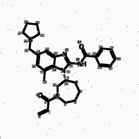 C=CC(=O)N1CCCC[C@@H](n2c(NC(=O)c3ccccc3)nc3cc(CN4CCCC4)cc(C)c32)C1